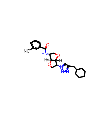 N#Cc1cccc(C(=O)N[C@H]2CO[C@H]3[C@@H]2OC[C@@H]3n2cc(CC3CCCCC3)nn2)c1